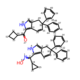 O/N=C(/c1[nH]cc2c1C=CC(c1ccccc1)(c1ccccc1)C2)C1CC1.O=C(c1[nH]cc2c1C=CC(c1ccccc1)(c1ccccc1)C2)C1CCC1